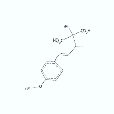 CCCOc1ccc(C=CC(C)C(C(=O)O)(C(=O)O)C(C)C)cc1